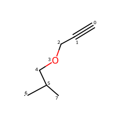 C#CCOCC([CH2])C